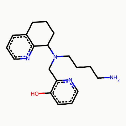 NCCCCN(Cc1ncccc1O)C1CCCc2cccnc21